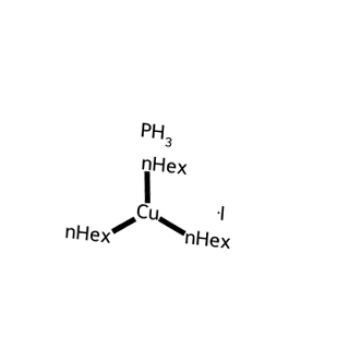 CCCCC[CH2][Cu]([CH2]CCCCC)[CH2]CCCCC.P.[I]